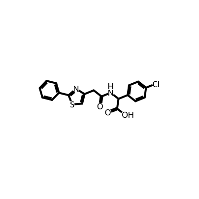 O=C(Cc1csc(-c2ccccc2)n1)NC(C(=O)O)c1ccc(Cl)cc1